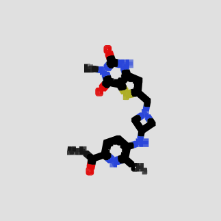 CCn1c(=O)[nH]c2cc(CN3CC(Nc4ccc(C(=O)NC)nc4C)C3)sc2c1=O